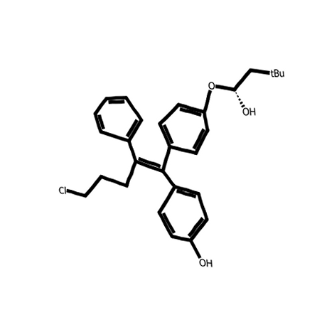 CC(C)(C)C[C@H](O)Oc1ccc(/C(=C(/CCCCl)c2ccccc2)c2ccc(O)cc2)cc1